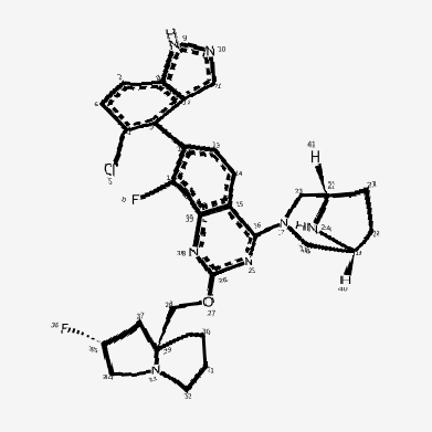 Fc1c(-c2c(Cl)ccc3[nH]ncc23)ccc2c(N3C[C@H]4CC[C@@H](C3)N4)nc(OC[C@@]34CCCN3C[C@H](F)C4)nc12